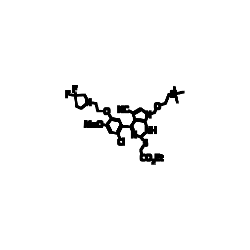 CCOC(=O)CSC1N=C(c2cc(OCCN3CCC(F)(F)C3)c(OC)cc2Cl)c2c(C#N)cn(COCC[Si](C)(C)C)c2N1